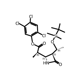 C[C@@H](O[Si](C)(C)C(C)(C)C)[C@H]1C(=O)N[C@@H]1[C@@H](C)C(=O)Oc1cc(Cl)c(Cl)cc1Cl